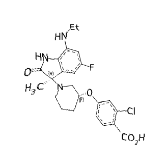 CCNc1cc(F)cc2c1NC(=O)[C@]2(C)N1CCC[C@@H](Oc2ccc(C(=O)O)c(Cl)c2)C1